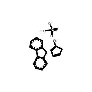 O=S(=O)([O-])C(F)(F)F.[Fe+][C]1=CC=CC1.c1ccc2c(c1)Cc1ccccc1-2